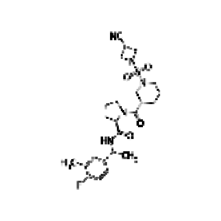 Cc1cc(C(C)NC(=O)[C@H]2CCCN2C(=O)C2CCCN(S(=O)(=O)N3CC(C#N)C3)C2)ccc1F